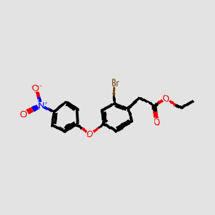 CCOC(=O)Cc1ccc(Oc2ccc([N+](=O)[O-])cc2)cc1Br